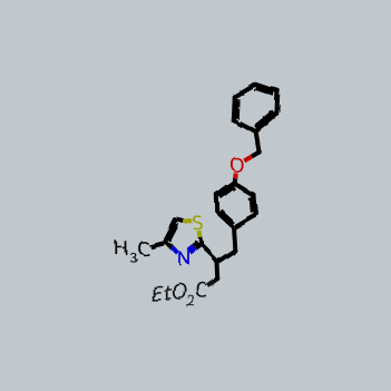 CCOC(=O)CC(Cc1ccc(OCc2ccccc2)cc1)c1nc(C)cs1